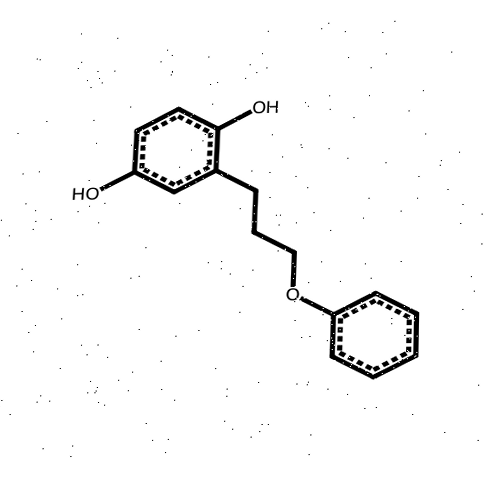 Oc1ccc(O)c(CCCOc2ccccc2)c1